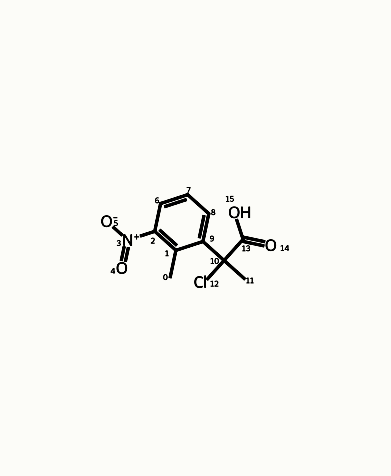 Cc1c([N+](=O)[O-])cccc1C(C)(Cl)C(=O)O